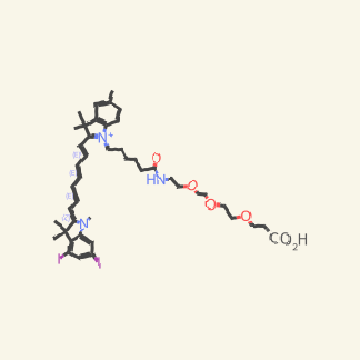 Cc1ccc2c(c1)C(C)(C)C(/C=C/C=C/C=C/C=C1\N(C)c3cc(I)cc(I)c3C1(C)C)=[N+]2CCCCCC(=O)NCCOCCOCCOCCC(=O)O